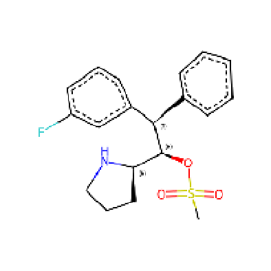 CS(=O)(=O)O[C@H]([C@H](c1ccccc1)c1cccc(F)c1)[C@H]1CCCN1